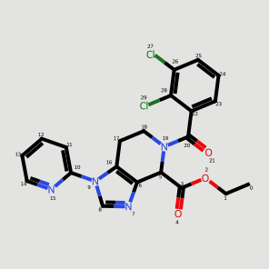 CCOC(=O)C1c2ncn(-c3ccccn3)c2CCN1C(=O)c1cccc(Cl)c1Cl